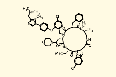 COC[C@@H]1NC(=O)[C@H](CC(=O)N2CCOCC2)N(Cc2ccc(Cl)cc2Oc2ccc(-c3cnc(CN(C)C)n3C)cc2)C(=O)C[C@@H](Cc2ccccc2)C(=O)N(C)[C@@H](C)CNC(=O)C[C@H](Cc2ccc(Cl)cc2)N(C)C1=O